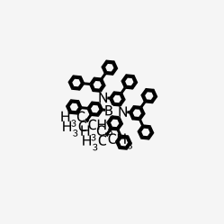 CC(C)(C)c1cc2c(cc1-c1ccccc1)N(c1cc(-c3ccccc3)cc(-c3ccccc3)c1)c1cc(-c3ccccc3)cc3c1B2c1cc(C(C)(C)C)c(-c2ccccc2)cc1N3c1cc(-c2ccccc2)cc(-c2ccccc2)c1